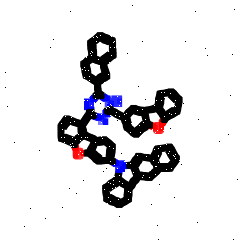 c1ccc2cc(C3N=C(c4cccc5oc6cc(-n7c8ccccc8c8cc9ccccc9cc87)ccc6c45)N=C(c4ccc5oc6ccccc6c5c4)N3)ccc2c1